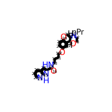 CCCN1CCO[C@@H]2c3cc(OCCCCNC(=O)c4cc5cccnc5[nH]4)ccc3OC[C@H]21